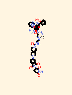 CCN(CCNC(=O)N1CCC2(CC1)CCN(c1ccc3c(c1)C(=O)N(C1CCC(=O)NC1=O)C3=O)CC2)CCOc1cccc(N2C3CCC2CN(C(/C=C(\N)c2ccccc2O)=C(N)N)C3)c1